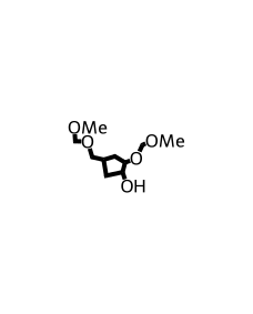 COCOCC1CC(O)C(OCOC)C1